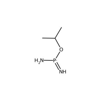 CC(C)O[P](=N)N